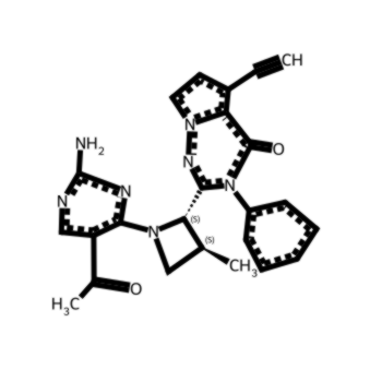 C#Cc1ccn2nc([C@@H]3[C@@H](C)CN3c3nc(N)ncc3C(C)=O)n(-c3ccccc3)c(=O)c12